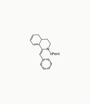 CCCCCN1CCC2CC=CC=C2C1=Cc1ccccc1